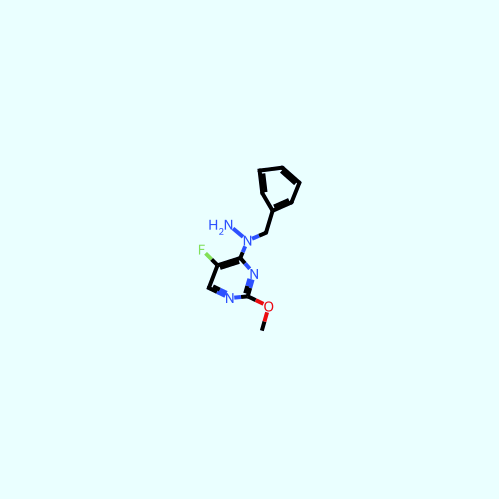 COc1ncc(F)c(N(N)Cc2ccccc2)n1